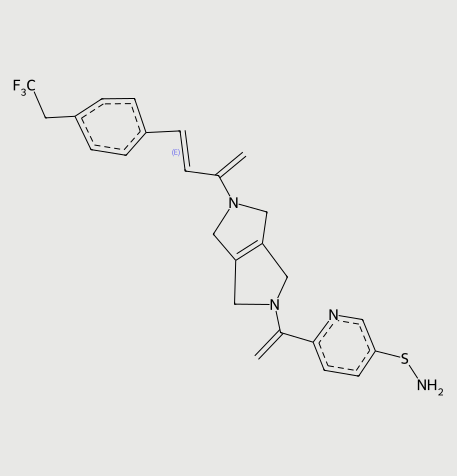 C=C(/C=C/c1ccc(CC(F)(F)F)cc1)N1CC2=C(C1)CN(C(=C)c1ccc(SN)cn1)C2